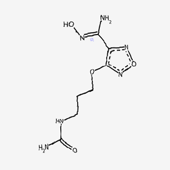 NC(=O)NCCCOc1nonc1/C(N)=N/O